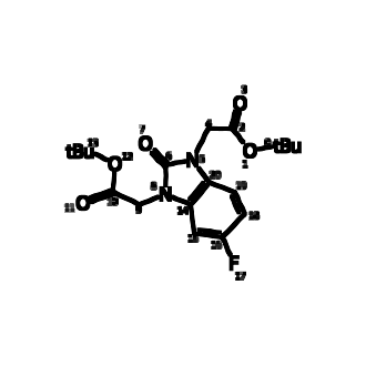 CC(C)(C)OC(=O)Cn1c(=O)n(CC(=O)OC(C)(C)C)c2cc(F)ccc21